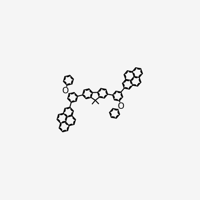 CC1(C)c2cc(-c3cc(Oc4ccccc4)cc(-c4cc5ccc6cccc7ccc(c4)c5c67)c3)ccc2-c2ccc(-c3cc(Oc4ccccc4)cc(-c4cc5ccc6cccc7ccc(c4)c5c67)c3)cc21